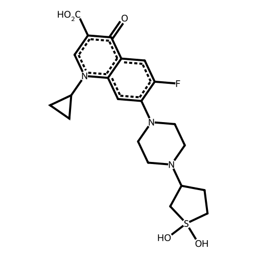 O=C(O)c1cn(C2CC2)c2cc(N3CCN(C4CCS(O)(O)C4)CC3)c(F)cc2c1=O